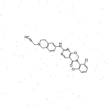 C#CCN1CCc2cc(Nc3ncc4c(n3)OCN(c3c(Cl)cccc3Cl)C4=O)ccc2C1